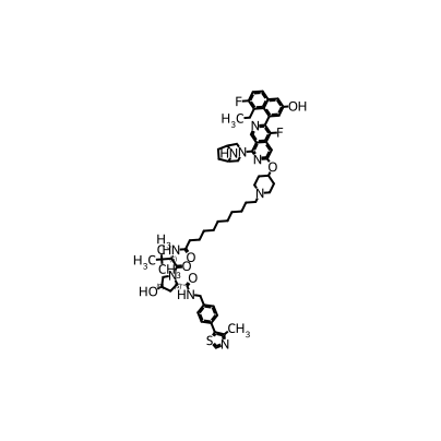 CCc1c(F)ccc2cc(O)cc(-c3ncc4c(N5CC6CCC(C5)N6)nc(OC5CCN(CCCCCCCCCCC(=O)N[C@H](C(=O)N6C[C@H](O)C[C@H]6C(=O)NCc6ccc(-c7scnc7C)cc6)C(C)(C)C)CC5)cc4c3F)c12